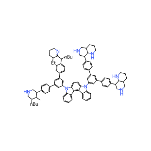 CCCCC(C1=NCCCC1CC)c1ccc(-c2cc(-c3ccc(C4CNCC(CCCC)C4C)cc3)cc(-n3c4ccccc4c4c5c6ccccc6n(-c6cc(-c7ccc(C8CNCC9CCCNC98)cc7)cc(-c7ccc(C8CNCC9CCCNC98)cc7)c6)c5ccc43)c2)cc1